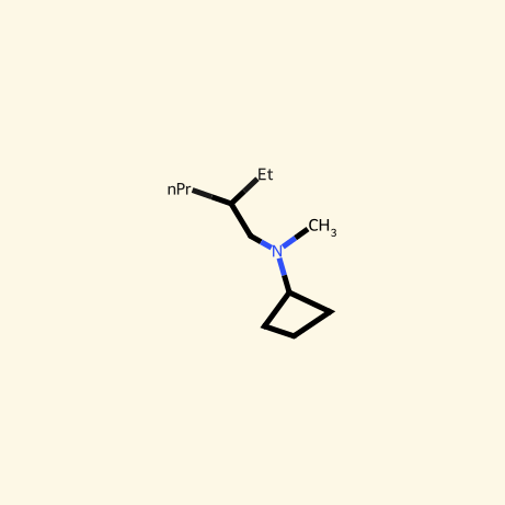 CCCC(CC)CN(C)C1CCC1